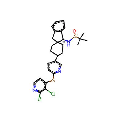 CC(C)(C)[S+]([O-])N[C@@H]1c2ccccc2CC12CCC(c1ccc(Sc3ccnc(Cl)c3Cl)nc1)CC2